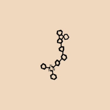 c1ccc(-c2nc(-c3ccccc3)nc(-c3ccc(-c4cccc(-c5ccc(-c6ccc7c(c6)C6(CCCCC6)c6ccccc6-7)cc5)c4)cc3)n2)cc1